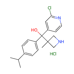 CC(C)c1ccc(C(O)(c2ccnc(Cl)c2)C2(C)CNC2)cc1.Cl